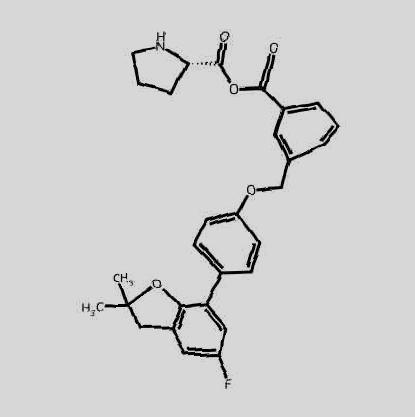 CC1(C)Cc2cc(F)cc(-c3ccc(OCc4cccc(C(=O)OC(=O)[C@@H]5CCCN5)c4)cc3)c2O1